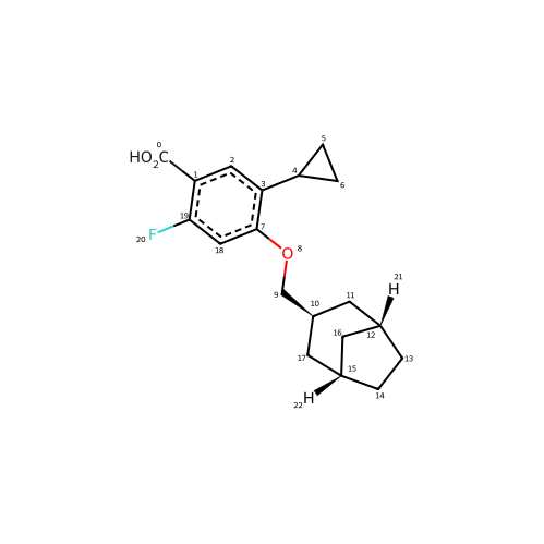 O=C(O)c1cc(C2CC2)c(OC[C@H]2C[C@@H]3CC[C@@H](C3)C2)cc1F